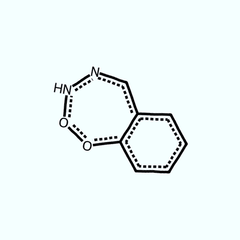 c1ccc2oo[nH]ncc2c1